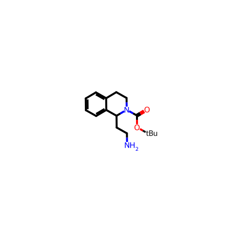 CC(C)(C)OC(=O)N1CCc2ccccc2C1CCN